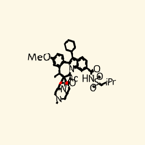 COc1ccc2c(c1)C(C)C(C)(C(=O)N1C3CN(C)CC1CN(C(C)=O)C3)Cn1c-2c(C2CCCCC2)c2ccc(C(=O)NS(=O)(=O)CC(C)C)cc21